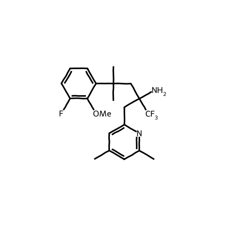 COc1c(F)cccc1C(C)(C)CC(N)(Cc1cc(C)cc(C)n1)C(F)(F)F